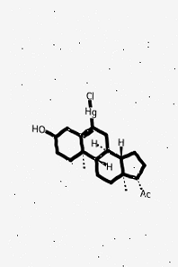 CC(=O)[C@H]1CC[C@H]2[C@@H]3C[C]([Hg][Cl])=C4CC(O)CC[C@]4(C)[C@H]3CC[C@]12C